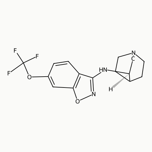 FC(F)(F)Oc1ccc2c(N[C@H]3CN4CCC3CC4)noc2c1